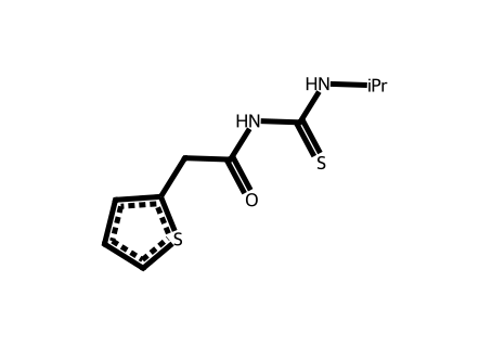 CC(C)NC(=S)NC(=O)Cc1cccs1